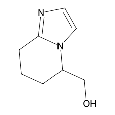 OCC1CCCc2nccn21